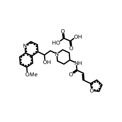 COc1ccc2nccc(C(O)CN3CCC(NC(=O)C=Cc4ccco4)CC3)c2c1.O=C(O)C(=O)O